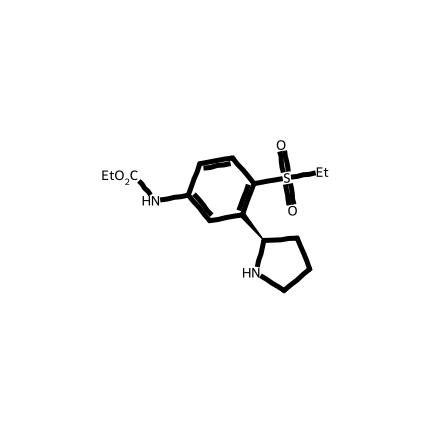 CCOC(=O)Nc1ccc(S(=O)(=O)CC)c([C@H]2CCCN2)c1